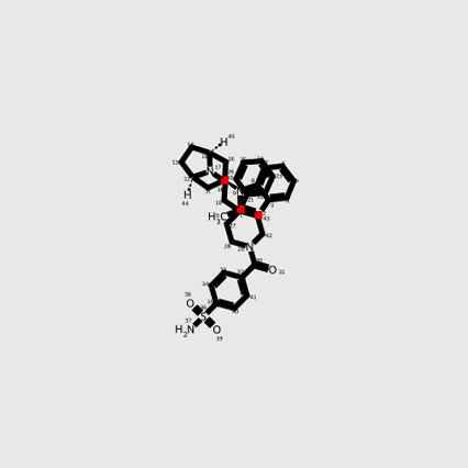 Cc1nc2ccccc2n1[C@H]1C[C@H]2CC[C@@H](C1)N2CCC1(c2ccccc2)CCN(C(=O)c2ccc(S(N)(=O)=O)cc2)CC1